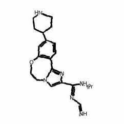 CC(C)N/C(=N\C=N)c1cn2c(n1)-c1ccc(C3CCNCC3)cc1OCC2